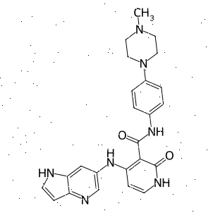 CN1CCN(c2ccc(NC(=O)c3c(Nc4cnc5cc[nH]c5c4)cc[nH]c3=O)cc2)CC1